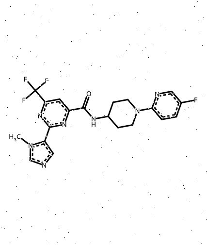 Cn1cncc1-c1nc(C(=O)NC2CCN(c3ccc(F)cn3)CC2)cc(C(F)(F)F)n1